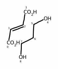 O=C(O)C=CC(=O)O.OCCCO